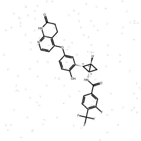 O=C1CCc2c(Oc3ccc(O)c([C@@H]4[C@@H]5C[C@@]45NC(=O)c4ccc(C(F)(F)F)c(F)c4)c3)ccnc2N1